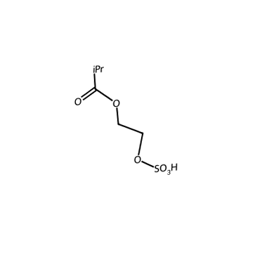 CC(C)C(=O)OCCOS(=O)(=O)O